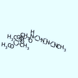 COc1cc(C)c(S(=O)(=O)N(C)CCC(=O)Nc2ccc(N3CCN(c4cc[n+](C)cc4)CC3)cc2)c(C)c1